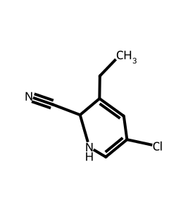 CCC1=CC(Cl)=CNC1C#N